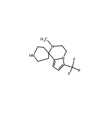 CN1CCn2c(C(F)(F)F)ccc2C12CCNCC2